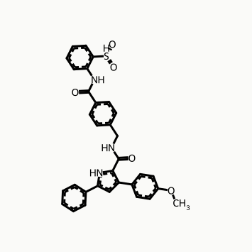 COc1ccc(-c2cc(-c3ccccc3)[nH]c2C(=O)NCc2ccc(C(=O)Nc3ccccc3[SH](=O)=O)cc2)cc1